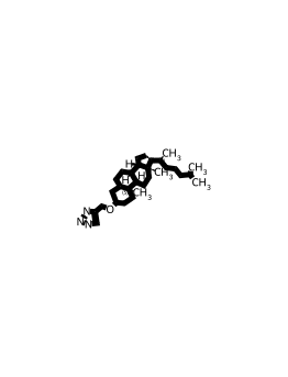 CC(C)CCC[C@@H](C)[C@H]1CC[C@H]2[C@@H]3CCC4CC(OCC5=C[N]N=N5)CC[C@]4(C)[C@H]3CC[C@]12C